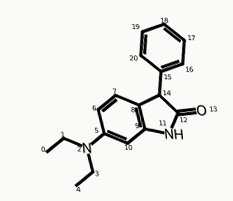 CCN(CC)c1ccc2c(c1)NC(=O)C2c1ccccc1